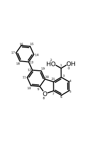 OC(O)c1cccc2oc3ccc(-c4ccccc4)cc3c12